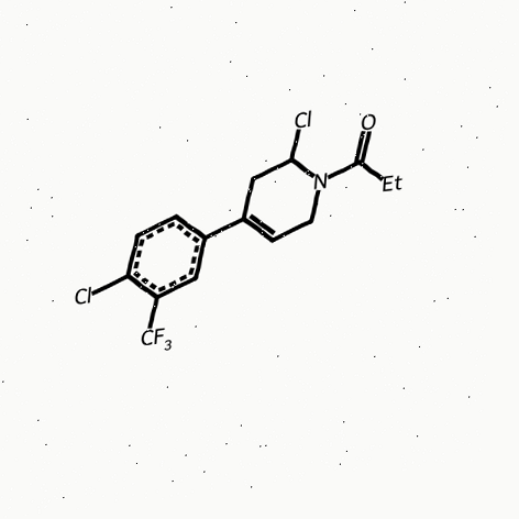 CCC(=O)N1CC=C(c2ccc(Cl)c(C(F)(F)F)c2)CC1Cl